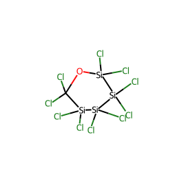 ClC1(Cl)O[Si](Cl)(Cl)[Si](Cl)(Cl)[Si](Cl)(Cl)[Si]1(Cl)Cl